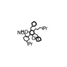 CC(C)CCCc1c(Cc2ccccc2)c(O)c(C2=C(CC#N)CCC(C(C)C)C2)c(O)c1Cc1ccccc1